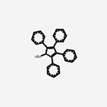 CCCCC1C(c2ccccc2)=C(c2ccccc2)C(c2ccccc2)=C1c1ccccc1